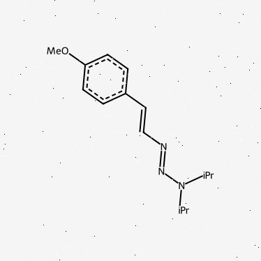 COc1ccc(C=CN=NN(C(C)C)C(C)C)cc1